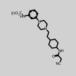 CCOC(=O)Nc1cccc(N2CCN(CCC3CCC(NC(=O)CC#N)CC3)CC2)c1